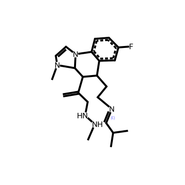 C=C(CNNC)C1C(CC/N=C/C(C)C)c2cc(F)ccc2N2C=CN(C)C12